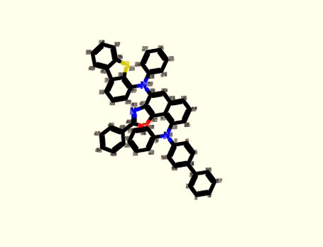 c1ccc(-c2ccc(N(c3ccccc3)c3cccc4cc(N(c5ccccc5)c5cccc6c5sc5ccccc56)c5nc(-c6ccccc6)oc5c34)cc2)cc1